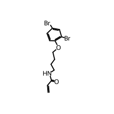 C=CC(=O)NCCCCOc1ccc(Br)cc1Br